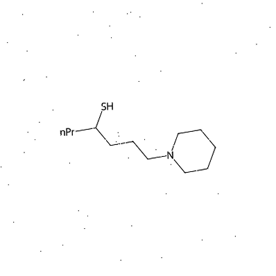 CCCC(S)CCCN1CCCCC1